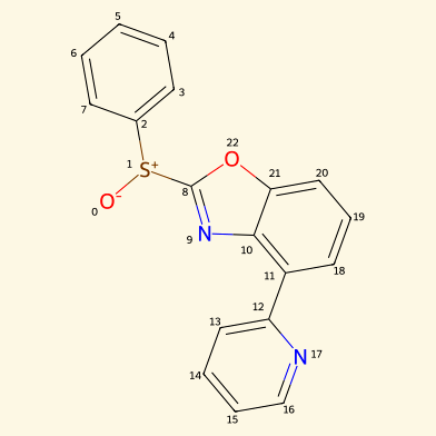 [O-][S+](c1ccccc1)c1nc2c(-c3ccccn3)cccc2o1